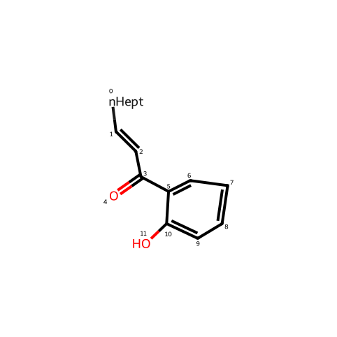 CCCCCCCC=CC(=O)c1ccccc1O